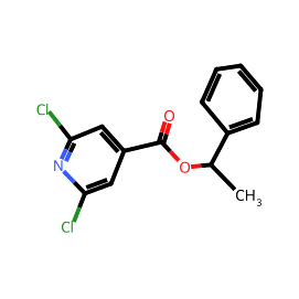 CC(OC(=O)c1cc(Cl)nc(Cl)c1)c1ccccc1